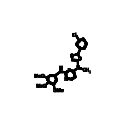 COc1cc(Nc2nccc(N(C)C3=COC(c4cccc(Cl)c4)O3)n2)cc(OC)c1OC